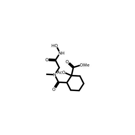 COC(=O)C1(OC(C)=O)CCCCC1C(=O)N(C)CC(=O)NO